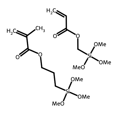 C=C(C)C(=O)OCCC[Si](OC)(OC)OC.C=CC(=O)OC[Si](OC)(OC)OC